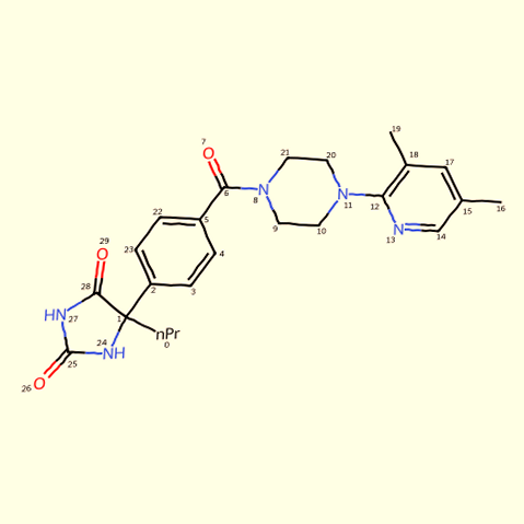 CCCC1(c2ccc(C(=O)N3CCN(c4ncc(C)cc4C)CC3)cc2)NC(=O)NC1=O